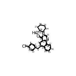 O=c1c2cc(Cc3ccc(Cl)nc3)c3ccccc3c2ncn1[C@H]1CCCC[C@@H]1O